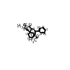 COC(=O)C(CC(C(=O)OC)C1(C#N)CCCCC1)c1ccccc1